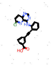 O=C(O)c1cccc(C#Cc2ccccc2Nc2ncnc3ccc(Cl)nc23)c1